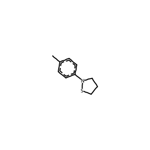 Cc1ccc(N2CCCS2)cc1